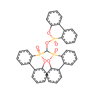 O=P1(OC(P2(=O)Oc3ccccc3-c3ccccc32)P2(=O)Oc3ccccc3-c3ccccc32)Oc2ccccc2-c2ccccc21